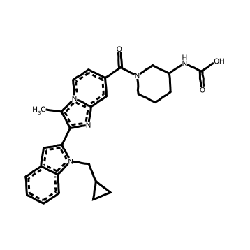 Cc1c(-c2cc3ccccc3n2CC2CC2)nc2cc(C(=O)N3CCCC(NC(=O)O)C3)ccn12